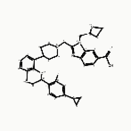 O=C(O)c1ccc2nc(CN3CCC(c4cccc5c4OC(c4ccc(C6CC6)cc4F)CO5)CC3)n(C[C@@H]3CCO3)c2c1